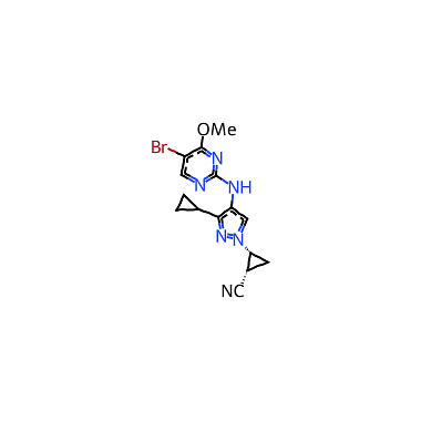 COc1nc(Nc2cn([C@@H]3C[C@@H]3C#N)nc2C2CC2)ncc1Br